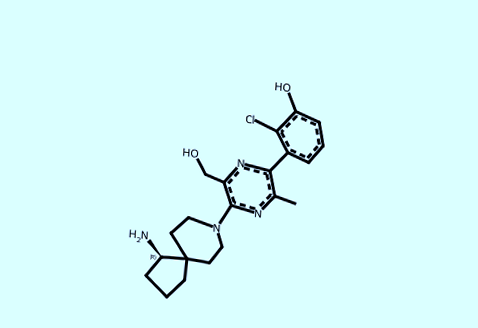 Cc1nc(N2CCC3(CCC[C@H]3N)CC2)c(CO)nc1-c1cccc(O)c1Cl